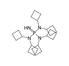 N=P(N(C1CCC1)C1CCC1)(N(C1CCC1)C1CCC1)N(C1CCC1)C1CCC1